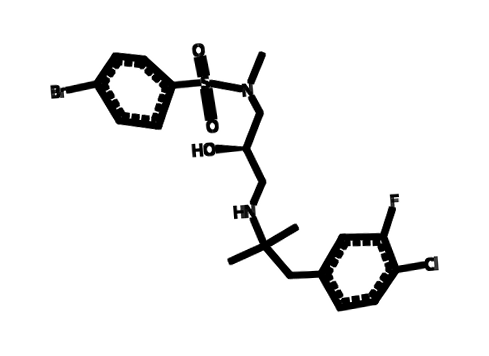 CN(C[C@H](O)CNC(C)(C)Cc1ccc(Cl)c(F)c1)S(=O)(=O)c1ccc(Br)cc1